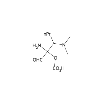 CCCC(N(C)C)C(N)(C=O)OC(=O)O